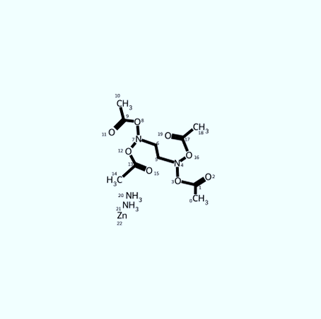 CC(=O)ON(CCN(OC(C)=O)OC(C)=O)OC(C)=O.N.N.[Zn]